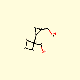 OCC1C[C]1C1(CO)CCC1